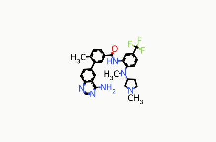 Cc1ccc(C(=O)Nc2cc(C(F)(F)F)ccc2N(C)[C@H]2CCN(C)C2)cc1-c1ccc2ncnc(N)c2c1